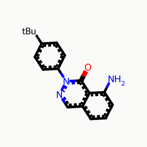 CC(C)(C)c1ccc(-n2ncc3cccc(N)c3c2=O)cc1